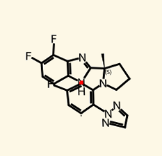 C[C@@]1(c2nc3c(F)c(F)ccc3[nH]2)CCCN1c1cc(F)c[c]c1-n1nccn1